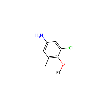 CCOc1c(C)cc(N)cc1Cl